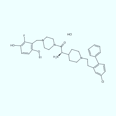 CCOc1ccc(O)c(F)c1CN1CCN(C(=O)[C@H](N)C2CCN(CCc3cc(Cl)ccc3-c3ccccc3)CC2)CC1.Cl